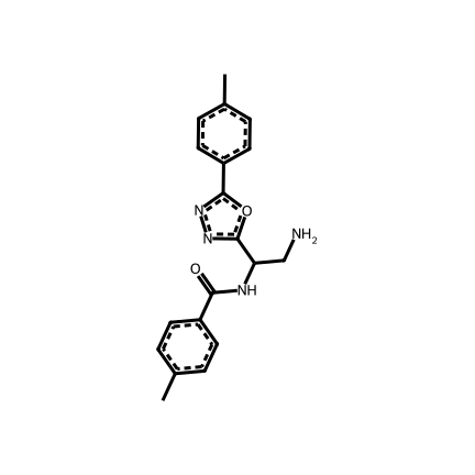 Cc1ccc(C(=O)NC(CN)c2nnc(-c3ccc(C)cc3)o2)cc1